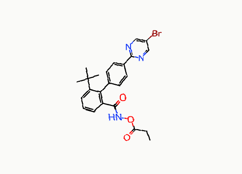 CCC(=O)ONC(=O)c1cccc(C(C)(C)C)c1-c1ccc(-c2ncc(Br)cn2)cc1